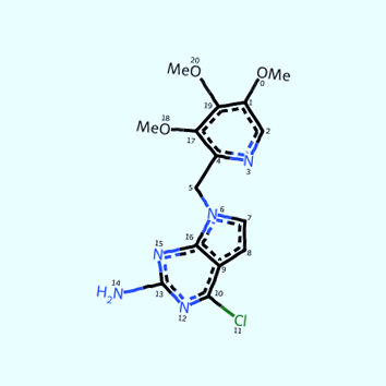 COc1cnc(Cn2ccc3c(Cl)nc(N)nc32)c(OC)c1OC